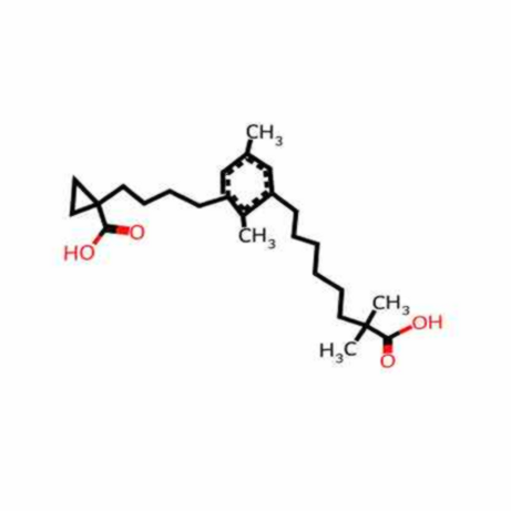 Cc1cc(CCCCCCC(C)(C)C(=O)O)c(C)c(CCCCC2(C(=O)O)CC2)c1